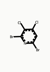 Clc1cc(Br)nc(Br)c1Cl